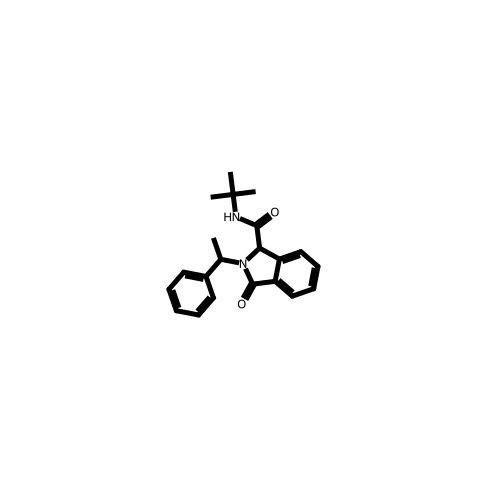 CC(c1ccccc1)N1C(=O)c2ccccc2C1C(=O)NC(C)(C)C